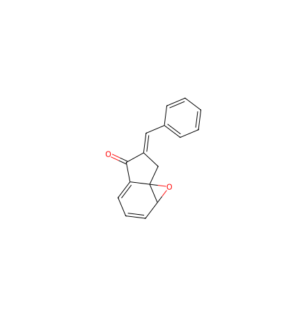 O=C1C(=Cc2ccccc2)CC23OC2C=CC=C13